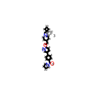 O=C(c1ccc(-c2ccc(OCC3CCN(CC4(C(F)(F)F)CCC4)CC3)nc2)cc1)N1CCCC1